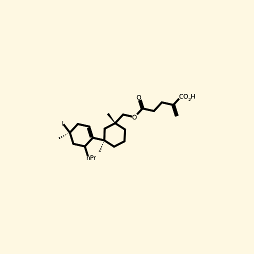 C=C(CCC(=O)OC[C@]1(C)CCC[C@@](C)(C2=CC[C@](C)(I)CC2CCC)C1)C(=O)O